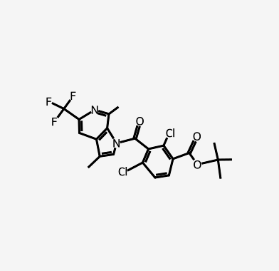 Cc1cn(C(=O)c2c(Cl)ccc(C(=O)OC(C)(C)C)c2Cl)c2c(C)nc(C(F)(F)F)cc12